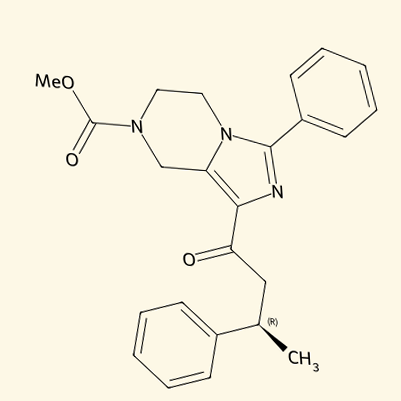 COC(=O)N1CCn2c(-c3ccccc3)nc(C(=O)C[C@@H](C)c3ccccc3)c2C1